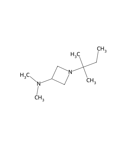 CCC(C)(C)N1CC(N(C)C)C1